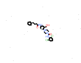 O=C(CCCc1ccccc1)Nc1ccc(N2CCN(C(=O)Nc3c(Cl)cccc3Cl)CC2)c(CO)c1